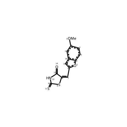 COc1ccc2oc(C=C3SC(=S)NC3=O)cc2c1